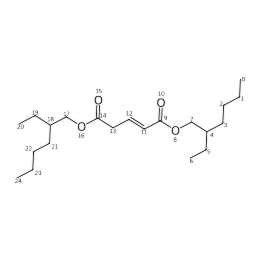 CCCCC(CC)COC(=O)C=CCC(=O)OCC(CC)CCCC